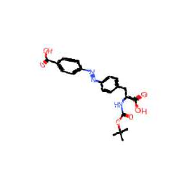 CC(C)(C)OC(=O)NC(Cc1ccc(N=Nc2ccc(C(=O)O)cc2)cc1)C(=O)O